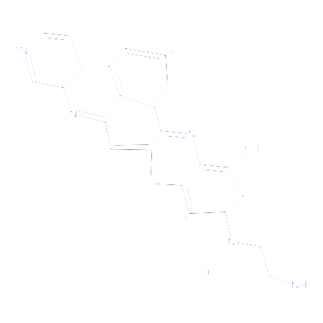 CCN(CCN)c1cc(C)c2nc3c4ccccc4/c(=N\c4cccnc4)cc-3oc2c1